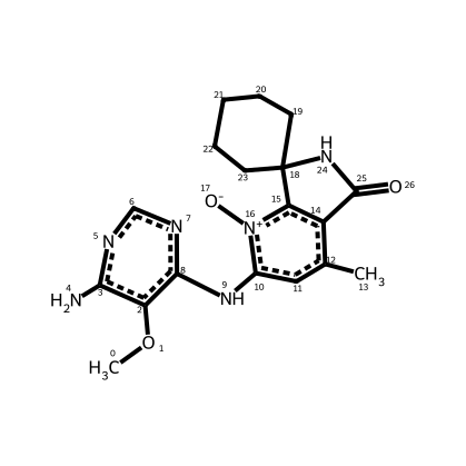 COc1c(N)ncnc1Nc1cc(C)c2c([n+]1[O-])C1(CCCCC1)NC2=O